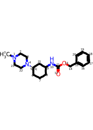 CN1CCN([C@H]2CCCC(NC(=O)OCc3ccccc3)C2)CC1